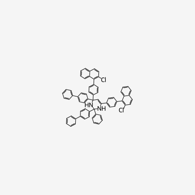 Clc1ccc2ccccc2c1-c1ccc(C2=CC(c3ccc(-c4ccccc4)cc3)(c3ccc(-c4c(Cl)ccc5ccccc45)cc3)NC(c3ccccc3)(c3ccc(-c4ccccc4)cc3)N2)cc1